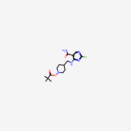 CC(C)(C)C(=O)ON1CCC(CNc2nc(Cl)ncc2C(N)=O)CC1